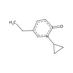 CCc1ccc(=O)n(C2CC2)c1